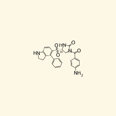 Nc1ccc(C(=O)N2C[C@H](S(=O)(=O)c3ccc4c(c3-c3ccccc3)CCN4)NC2=O)cc1